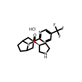 Cl.O=C([C@H]1CCNC1)N1C2CCC1CN(c1ncc(C(F)(F)F)cn1)C2